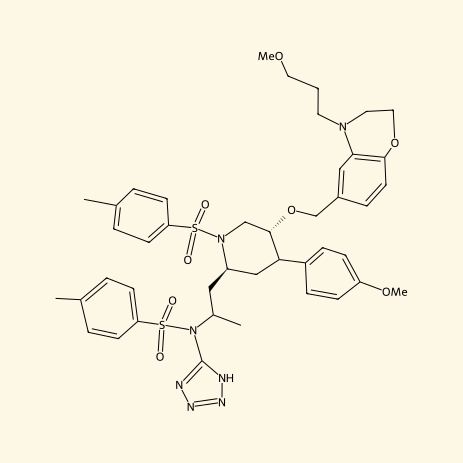 COCCCN1CCOc2ccc(CO[C@H]3CN(S(=O)(=O)c4ccc(C)cc4)[C@H](CC(C)N(c4nnn[nH]4)S(=O)(=O)c4ccc(C)cc4)CC3c3ccc(OC)cc3)cc21